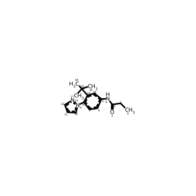 CCC(=O)Nc1ccc(-n2cccn2)c(C(C)(C)C)c1